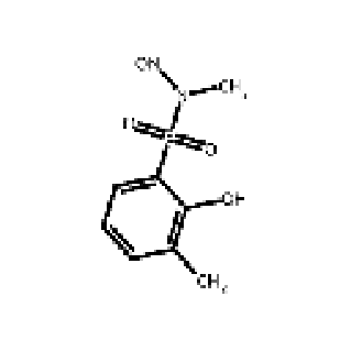 Cc1cccc(S(=O)(=O)N(C)N=O)c1O